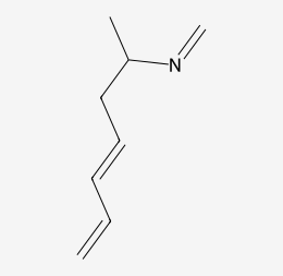 C=C/C=C/CC(C)N=C